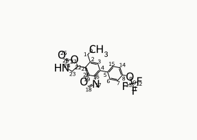 CCc1cc(-c2ccc(OC(F)(F)F)cc2)c2ncoc2c1C1CNC(=O)O1